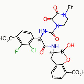 CCN1CCN(C(=O)N[C@@H](C(=O)N[C@H]2Cc3cccc(C(=O)O)c3OB2O)c2ccc(C(=O)O)c(F)c2Cl)C(=O)C1=O